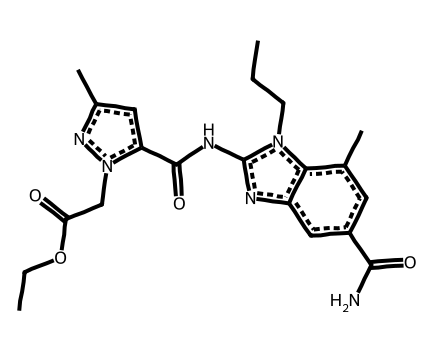 CCCn1c(NC(=O)c2cc(C)nn2CC(=O)OCC)nc2cc(C(N)=O)cc(C)c21